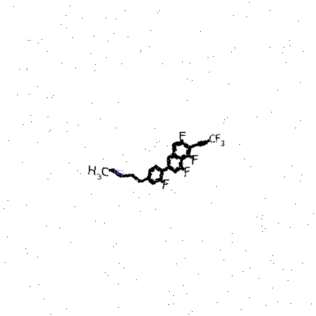 C/C=C/CCc1ccc(-c2cc(F)c3c(F)c(C#CC(F)(F)F)c(F)cc3c2)c(F)c1